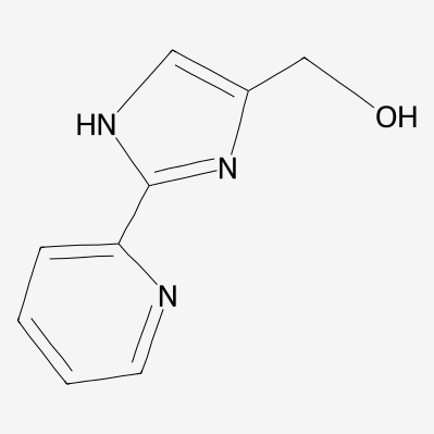 OCc1c[nH]c(-c2ccccn2)n1